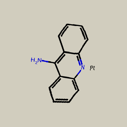 Nc1c2ccccc2nc2ccccc12.[Pt]